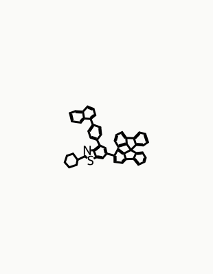 c1ccc2c(c1)-c1ccccc1C21c2ccccc2-c2ccc(-c3cc(-c4ccc(-c5cccc6ccccc56)cc4)c4nc(C5CCCCC5)sc4c3)cc21